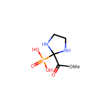 COC(=O)C1(P(=O)(O)O)NCCN1